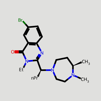 CCC[C@@H](c1nc2ccc(Br)cc2c(=O)n1CC)N1CC[C@@H](C)N(C)CC1